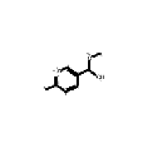 C=C(C)/C=C\C(=C/N)C(O)OC